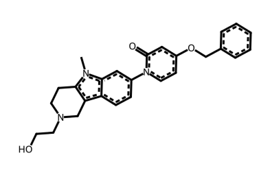 Cn1c2c(c3ccc(-n4ccc(OCc5ccccc5)cc4=O)cc31)CN(CCO)CC2